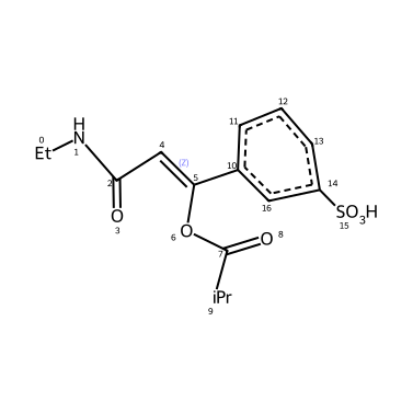 CCNC(=O)/C=C(\OC(=O)C(C)C)c1cccc(S(=O)(=O)O)c1